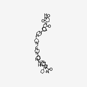 CN(C)C(=O)c1cc2cnc(Nc3ccc(N4CCN(CCN5CCC(CN6CCN(c7ccc8c(c7)CN(C7CCC(=O)NC7=O)C8=O)CC6)CC5)CC4)cn3)nc2n1C1CCCC1